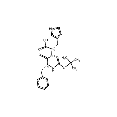 CC(C)(C)OC(=O)N[C@H](Cc1ccccc1)C(=O)N[C@@H](Cc1c[nH]cn1)C(=O)O